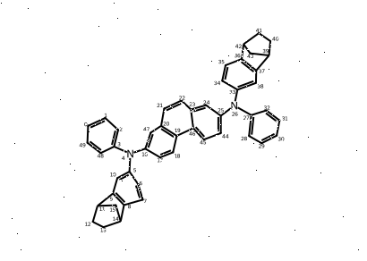 c1ccc(N(c2ccc3c(c2)C2CCC3C2)c2ccc3c(ccc4cc(N(c5ccccc5)c5ccc6c(c5)C5CCC6C5)ccc43)c2)cc1